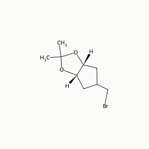 CC1(C)O[C@H]2CC(CBr)C[C@H]2O1